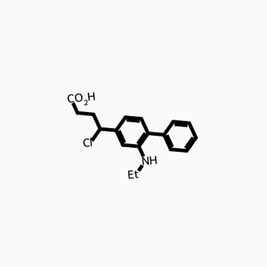 CCNc1cc(C(Cl)CCC(=O)O)ccc1-c1ccccc1